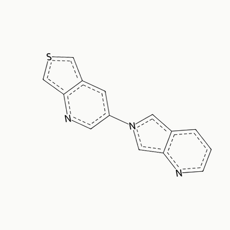 c1cnc2cn(-c3cnc4cscc4c3)cc2c1